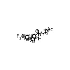 CC(=O)N1CC(CCNC(=O)c2ccc3c(-c4ccc(C(F)(F)F)cc4)cccc3c2)C1